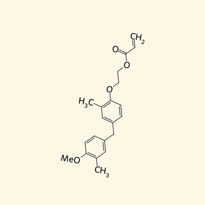 C=CC(=O)OCCOc1ccc(Cc2ccc(OC)c(C)c2)cc1C